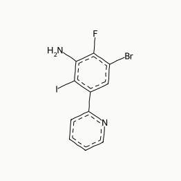 Nc1c(F)c(Br)cc(-c2ccccn2)c1I